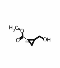 COC(=O)[C@H]1CC1CO